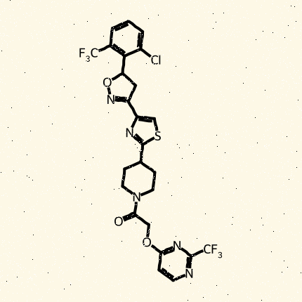 O=C(COc1ccnc(C(F)(F)F)n1)N1CCC(c2nc(C3=NOC(c4c(Cl)cccc4C(F)(F)F)C3)cs2)CC1